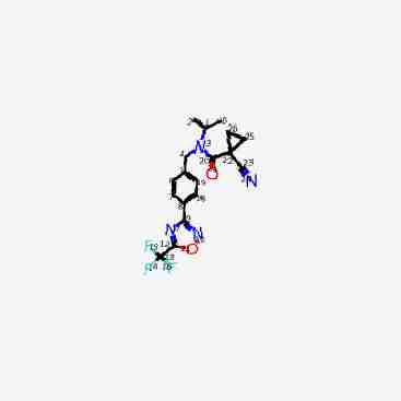 CC(C)N(Cc1ccc(-c2noc(C(F)(F)F)n2)cc1)C(=O)C1(C#N)CC1